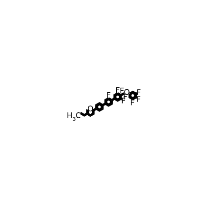 CCCC1=COC(c2ccc(-c3ccc(-c4cc(F)c(C(F)(F)Oc5cc(F)c(F)c(F)c5)c(F)c4)c(F)c3)cc2)CC1